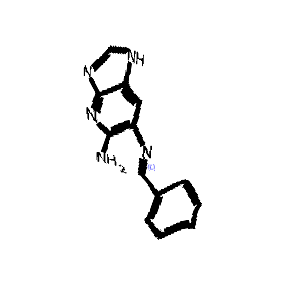 Nc1nc2nc[nH]c2cc1/N=C/c1ccccc1